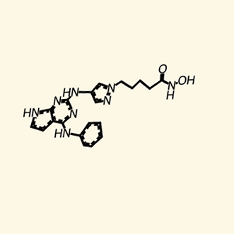 O=C(CCCCn1cc(Nc2nc(Nc3ccccc3)c3cc[nH]c3n2)cn1)NO